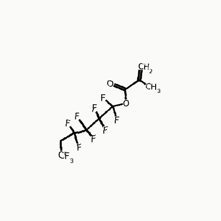 C=C(C)C(=O)OC(F)(F)C(F)(F)C(F)(F)C(F)(F)CC(F)(F)F